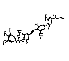 C=CCOc1cc(F)c(-c2cc(F)c(C#Cc3cc(F)c(C(F)(F)Oc4cc(F)c(F)c(F)c4)c(F)c3)c(F)c2)c(F)c1